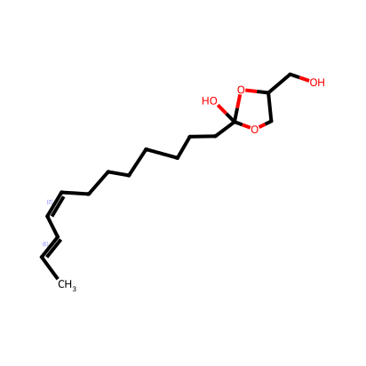 C/C=C/C=C\CCCCCCCC1(O)OCC(CO)O1